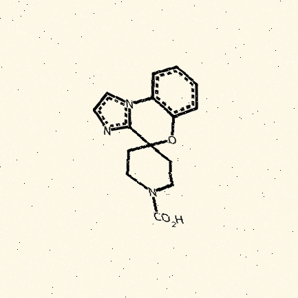 O=C(O)N1CCC2(CC1)Oc1ccccc1-n1ccnc12